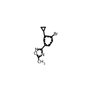 Cc1nc(-c2ccc(Br)c(C3CC3)c2)no1